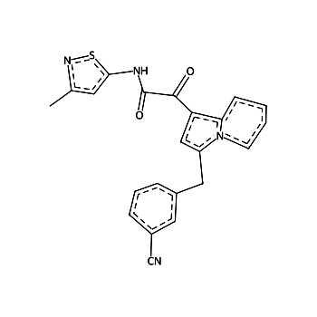 Cc1cc(NC(=O)C(=O)c2cc(Cc3cccc(C#N)c3)n3ccccc23)sn1